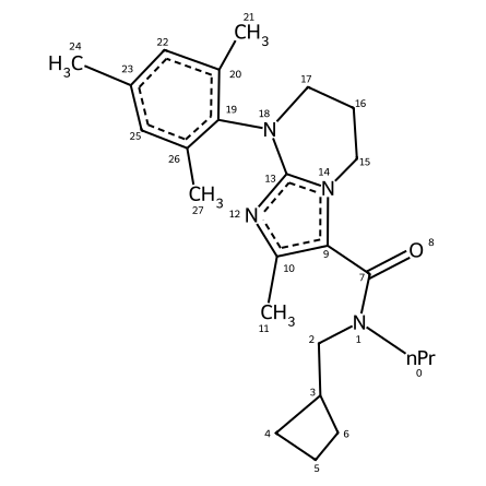 CCCN(CC1CCC1)C(=O)c1c(C)nc2n1CCCN2c1c(C)cc(C)cc1C